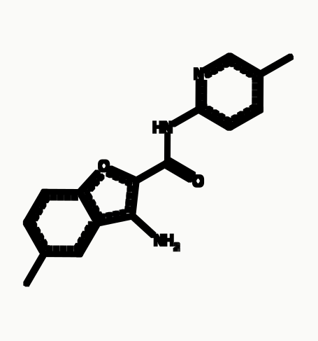 Cc1ccc(NC(=O)c2oc3ccc(C)cc3c2N)nc1